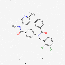 CN(C(=O)c1ccc(N(Cc2cccc(Cl)c2Cl)C(=O)c2ccccc2)cc1)c1ccc(C(F)(F)F)nc1